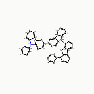 c1ccc(-c2cccc3c2Cc2c-3cccc2-n2c3ccccc3c3cc(-c4ccc5c(c4)c4ccccc4n5-c4ccccc4)ccc32)cc1